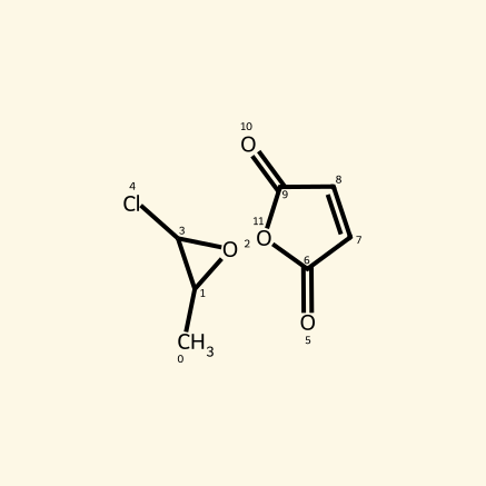 CC1OC1Cl.O=C1C=CC(=O)O1